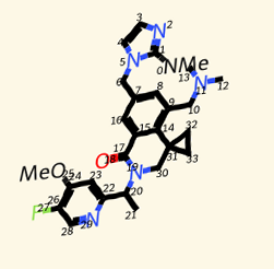 CNc1nccn1Cc1cc(CN(C)C)c2c(c1)C(=O)N(C(C)c1cc(OC)c(F)cn1)CC21CC1